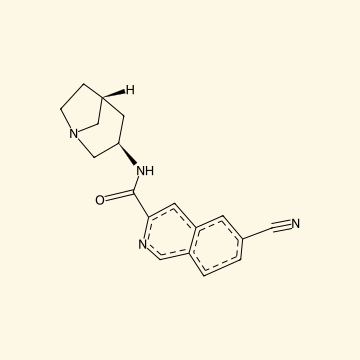 N#Cc1ccc2cnc(C(=O)N[C@@H]3C[C@H]4CCN(C4)C3)cc2c1